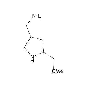 COCC1CC(CN)CN1